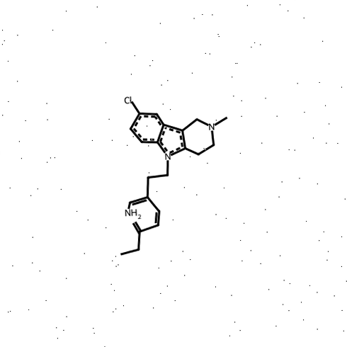 C=C(/C=C\C(=C/N)CCn1c2c(c3cc(Cl)ccc31)CN(C)CC2)CC